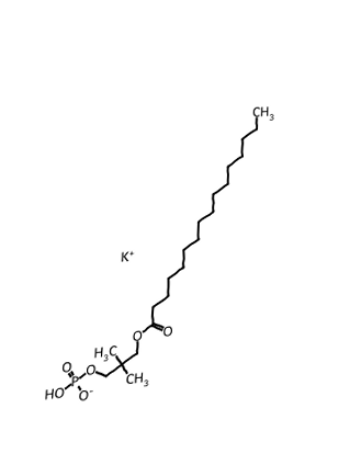 CCCCCCCCCCCCCCCC(=O)OCC(C)(C)COP(=O)([O-])O.[K+]